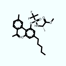 C=C(C)c1ccc(C)cc1-c1c(O)cc(CCCCC)cc1OP(=O)(N[C@@H](C)C(=O)OC)C(C)(F)F